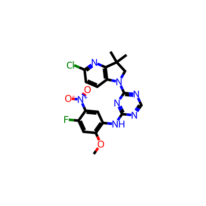 COc1cc(F)c([N+](=O)[O-])cc1Nc1ncnc(N2CC(C)(C)c3nc(Cl)ccc32)n1